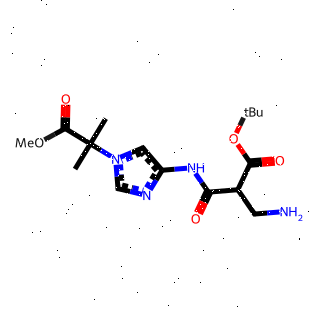 COC(=O)C(C)(C)n1cnc(NC(=O)C(CN)C(=O)OC(C)(C)C)c1